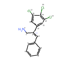 NC/C(=C\c1ccccc1)c1cc(Cl)c(Cl)c(Cl)c1